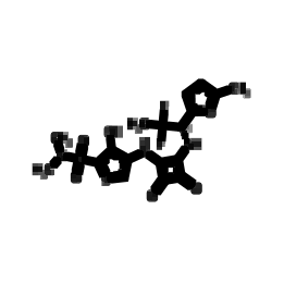 Cc1ccc([C@H](Nc2c(Nc3csc(S(=O)(=O)N(C)C)c3O)c(=O)c2=O)C(C)(F)F)o1